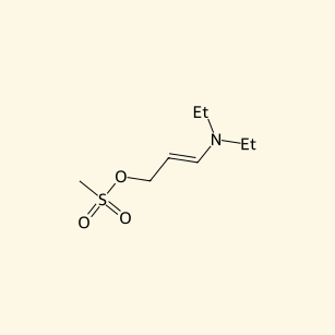 CCN(C=CCOS(C)(=O)=O)CC